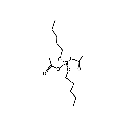 CCCCCO[Si](OCCCCC)(OC(C)=O)OC(C)=O